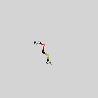 CO[CH]SC